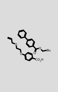 C=CCOCCOc1ccc(C(=O)O)cc1.CCC(C)COC(=O)c1ccc(-c2ccccc2)cc1